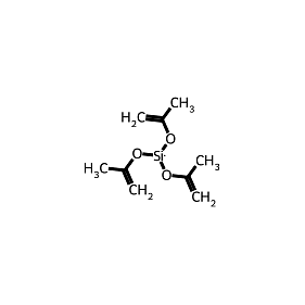 C=C(C)O[Si](OC(=C)C)OC(=C)C